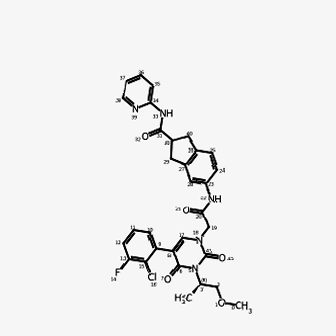 COC[C@@H](C)n1c(=O)c(-c2cccc(F)c2Cl)cn(CC(=O)Nc2ccc3c(c2)CC(C(=O)Nc2ccccn2)C3)c1=O